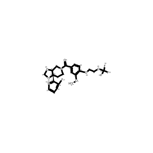 COc1cc(C(=O)N2CC[C@]3(c4ncccc4F)OCOC3C2)ccc1OCCOC(F)(F)F